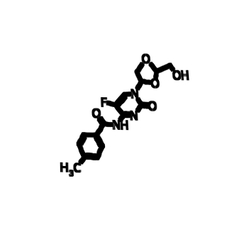 Cc1ccc(C(=O)Nc2nc(=O)n(C3COC(CO)O3)cc2F)cc1